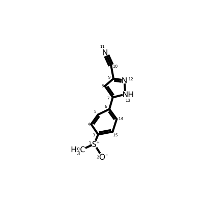 C[S+]([O-])c1ccc(-c2cc(C#N)n[nH]2)cc1